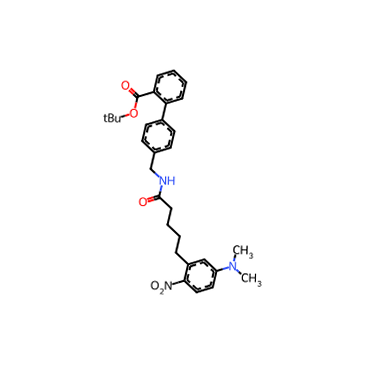 CN(C)c1ccc([N+](=O)[O-])c(CCCCC(=O)NCc2ccc(-c3ccccc3C(=O)OC(C)(C)C)cc2)c1